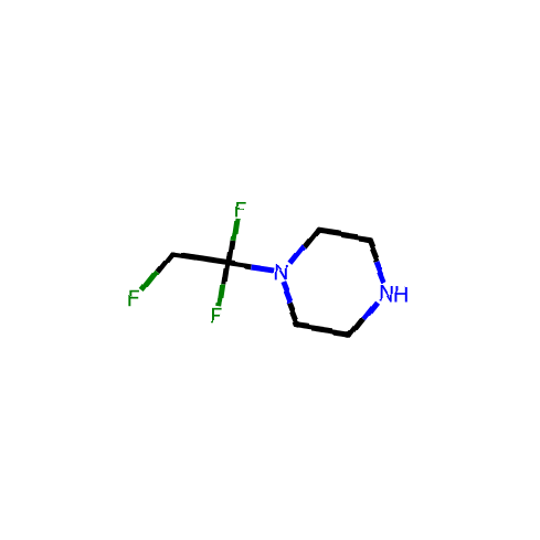 FCC(F)(F)N1CCNCC1